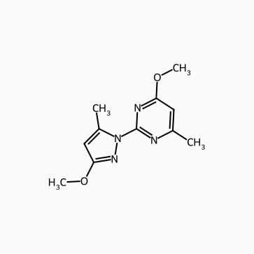 COc1cc(C)nc(-n2nc(OC)cc2C)n1